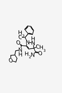 C[C@@H](c1ccccc1)N1NC(C)(C(N)=O)C=C1C(=O)NCC1CCOC1